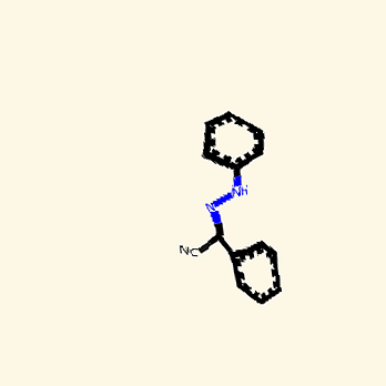 N#C/C(=N/Nc1ccccc1)c1ccccc1